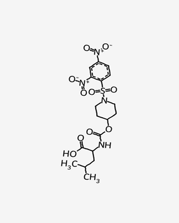 CC(C)CC(NC(=O)OC1CCN(S(=O)(=O)c2ccc([N+](=O)[O-])cc2[N+](=O)[O-])CC1)C(=O)O